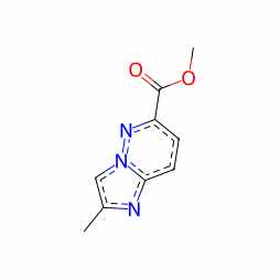 COC(=O)c1ccc2nc(C)cn2n1